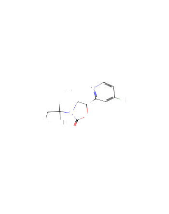 CCC(C)(C)N1C(=O)O[C@H](c2cc(Cl)ccn2)[C@H]1C